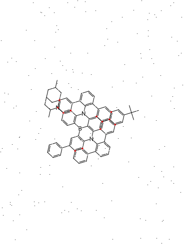 CC1CC2CC(C)N(c3ccc4c(c3)N(c3c(-c5ccccc5)cccc3-c3ccccc3)c3cc(-c5ccc(C(C)(C)C)cc5)cc5c3B4c3cc(-c4ccccc4)ccc3N5c3c(-c4ccccc4)cccc3-c3ccccc3)C(C1)C2